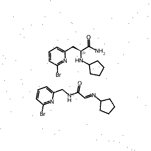 NC(=O)[C@H](Cc1cccc(Br)n1)NC1CCCC1.O=C(C=NC1CCCC1)NCc1cccc(Br)n1